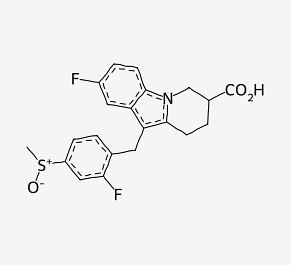 C[S+]([O-])c1ccc(Cc2c3n(c4ccc(F)cc24)CC(C(=O)O)CC3)c(F)c1